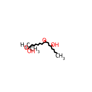 CCCCCC(O)CCC1OC1CCCCC=CC(C)(C)C(=O)O